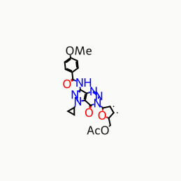 COc1ccc(C(=O)Nc2nn(C3CC3)c3c(=O)n(C4[CH][CH]C(COC(C)=O)O4)nnc23)cc1